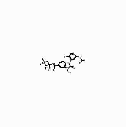 CC(C)n1c(=O)n(-c2cc(OC(F)F)ncc2F)c2ccc(C(=O)NC3(C)CS(=O)(=O)C3)cc21